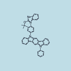 CC1(C)Oc2nc3ccccc3n2-c2ccc(-n3c4ccccc4c4cc5c(cc43)c3ccccc3n5-c3ccccc3)cc21